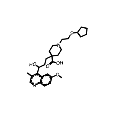 COc1ccc2ncc(C)c(C(O)CCC3(C(=O)O)CCN(CCSC4CCCC4)CC3)c2c1